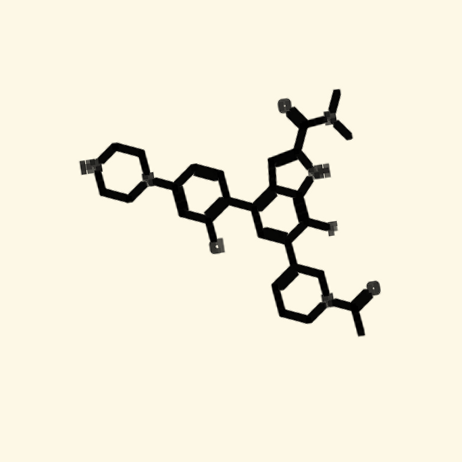 CC(=O)N1CCC=C(c2cc(-c3ccc(N4CCNCC4)cc3Cl)c3cc(C(=O)N(C)C)[nH]c3c2F)C1